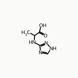 CC(Nc1nc[nH]n1)C(=O)O